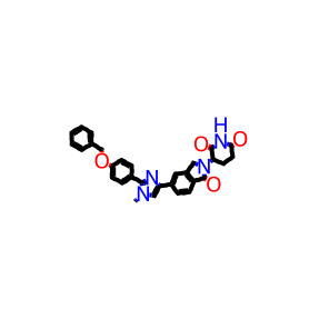 Cn1cc(-c2ccc3c(c2)CN(C2CCC(=O)NC2=O)C3=O)nc1-c1ccc(OCc2ccccc2)cc1